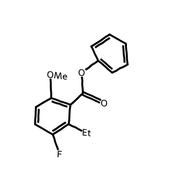 CCc1c(F)ccc(OC)c1C(=O)Oc1ccccc1